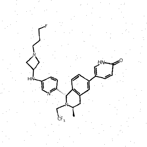 C[C@@H]1Cc2cc(-c3ccc(=O)[nH]c3)ccc2[C@@H](c2ccc(NC3CN(CCCF)C3)cn2)N1CC(F)(F)F